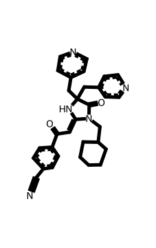 N#Cc1ccc(C(=O)/C=C2\NC(Cc3ccncc3)(Cc3ccncc3)C(=O)N2CC2CCCCC2)cc1